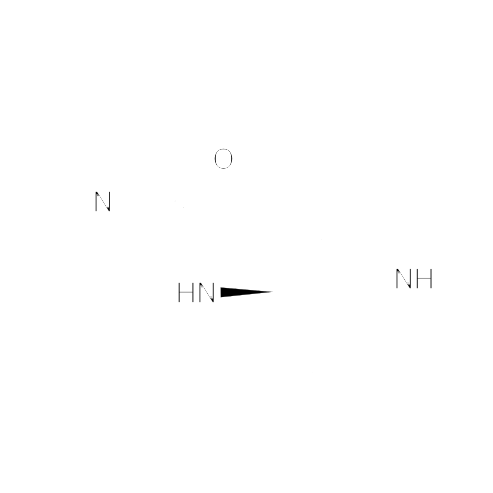 CN(C)C(=O)N[C@@H]1CCNC1